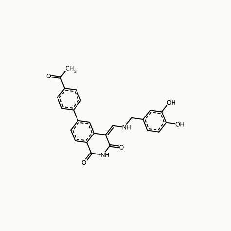 CC(=O)c1ccc(-c2ccc3c(c2)C(=CNCc2ccc(O)c(O)c2)C(=O)NC3=O)cc1